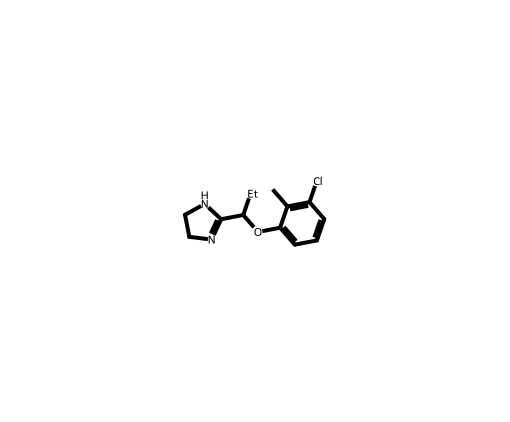 CCC(Oc1cccc(Cl)c1C)C1=NCCN1